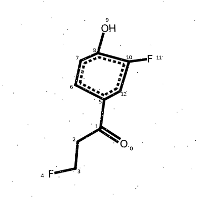 O=C(CCF)c1ccc(O)c(F)c1